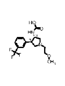 COCCN1C[C@@H](NC(=O)O)[C@H](c2cccc(C(F)(F)F)c2)C1